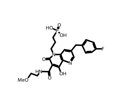 COCCNC(=O)c1c(O)c2ncc(Cc3ccc(F)cc3)cc2n(CCCP(=O)(O)O)c1=O